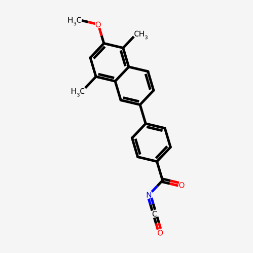 COc1cc(C)c2cc(-c3ccc(C(=O)N=C=O)cc3)ccc2c1C